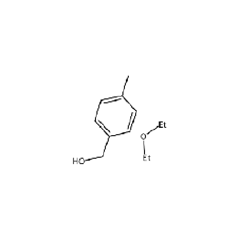 CCOCC.Cc1ccc(CO)cc1